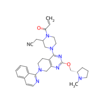 C=CC(=O)N1CCN(c2nc(OC[C@@H]3CCCN3C)nc3c2CCN(c2nccc4ccccc24)C3)CC1CC#N